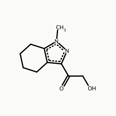 Cn1nc(C(=O)CO)c2c1CCCC2